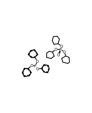 O=P(OC1CCCCC1)(OC1CCCCC1)OC1CCCCC1.c1ccc(OP(Oc2ccccc2)Oc2ccccc2)cc1